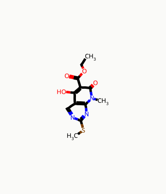 CCOC(=O)c1c(O)c2cnc(SC)nc2n(C)c1=O